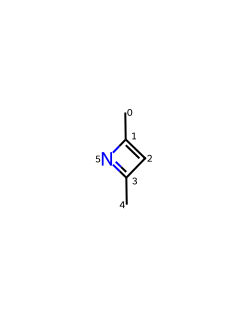 CC1=CC(C)=N1